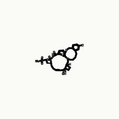 CC(C)(C)S(=O)(=O)CC[C@@H]1CC/C=C/[C@H](O)[C@@H]2CC[C@H]2CN2CCCCc3cc(Cl)ccc3COc3ccc(cc32)C(=O)NS1(=O)=O